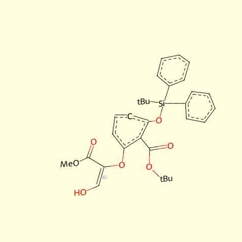 COC(=O)/C(=C\O)Oc1cccc(O[Si](c2ccccc2)(c2ccccc2)C(C)(C)C)c1C(=O)OC(C)(C)C